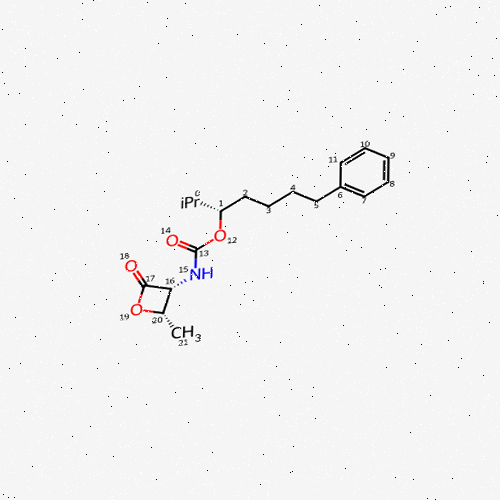 CC(C)[C@H](CCCCc1ccccc1)OC(=O)N[C@H]1C(=O)O[C@H]1C